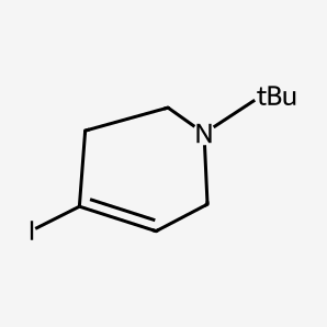 CC(C)(C)N1CC=C(I)CC1